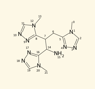 Cn1cnnc1CC(c1nncn1C)C(N)c1nncn1C